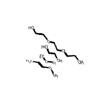 C/C=C/OCCC.CCOCC.OCCO.OCCOCCOCCO